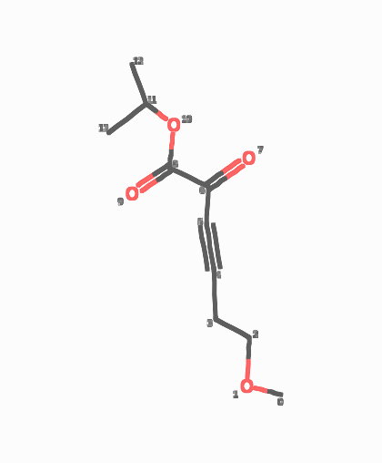 COCCC#CC(=O)C(=O)OC(C)C